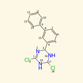 ClC1=NC(c2cccc(-c3ccccc3)c2)NC(Cl)N1